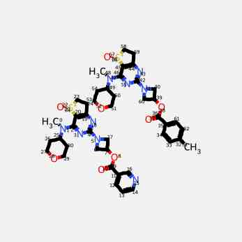 CN(c1nc(N2CC(OC(=O)c3cccnc3)C2)nc2c1[S@+]([O-])CC2)C1CCOCC1.Cc1ccc(C(=O)OC2CN(c3nc4c(c(N(C)C5CCOCC5)n3)[S@+]([O-])CC4)C2)cc1